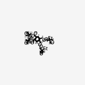 CCC1(COOCc2cc(C(=O)OCC3(CC)COC3)c(C(=O)OCC3(CC)COC3)cc2COOCC2(CC)COC2)COC1